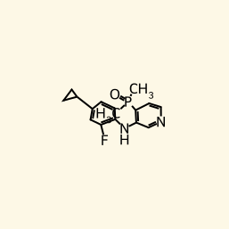 CP(C)(=O)c1ccncc1Nc1ccc(C2CC2)cc1F